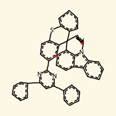 c1ccc(-c2cc(-c3ccccc3)nc(-c3ccc4c(c3)C3(c5ccccc5S4)c4ccccc4-n4c5ccccc5c5cccc3c54)n2)cc1